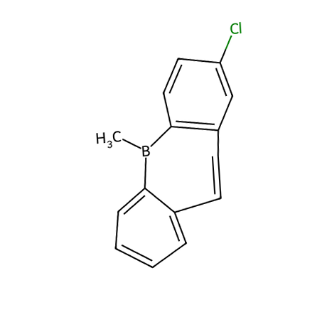 CB1c2ccccc2C=Cc2cc(Cl)ccc21